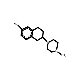 CN1CCN(C2CCc3cc(C#N)ccc3C2)CC1